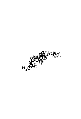 Cc1cc(Oc2ccc(NC(=O)Nc3cc(C(F)(F)F)cc(NC(=O)CCCCNC(=N)N)c3O[C@@H]3CCNC3)cc2)cc(C(F)(F)F)c1